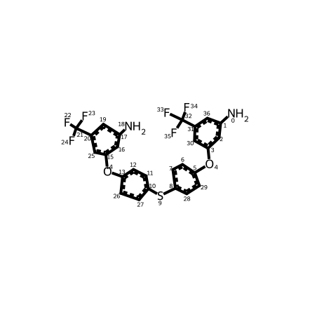 Nc1cc(Oc2ccc(Sc3ccc(Oc4cc(N)cc(C(F)(F)F)c4)cc3)cc2)cc(C(F)(F)F)c1